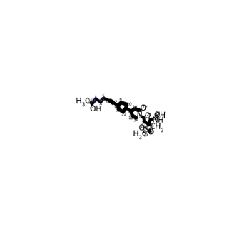 C/C(O)=C/C=C/C#Cc1ccc(-c2ccn(CCC(C)(C(=O)NO)S(C)(=O)=O)c(=O)c2)cc1